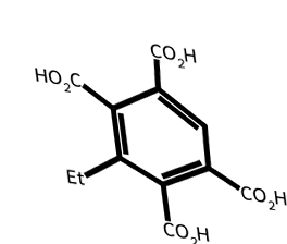 CCc1c(C(=O)O)c(C(=O)O)cc(C(=O)O)c1C(=O)O